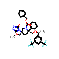 COC[C@]1(n2cn[nH]c2=O)CC[C@@](CO[C@H](C)c2cc(C(F)(F)F)cc(C(F)(F)F)c2)(c2ccccc2)N(C(=O)OCc2ccccc2)C1